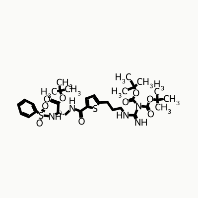 CC(C)(C)OC(=O)[C@H](CNC(=O)c1ccc(CCCNC(=N)N(C(=O)OC(C)(C)C)C(=O)OC(C)(C)C)s1)NS(=O)(=O)c1ccccc1